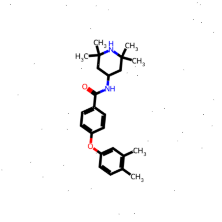 Cc1ccc(Oc2ccc(C(=O)NC3CC(C)(C)NC(C)(C)C3)cc2)cc1C